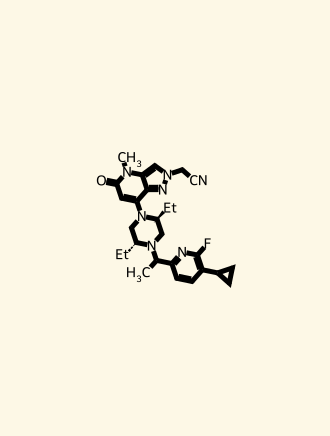 CC[C@H]1CN(C(C)c2ccc(C3CC3)c(F)n2)[C@H](CC)CN1c1cc(=O)n(C)c2cn(CC#N)nc12